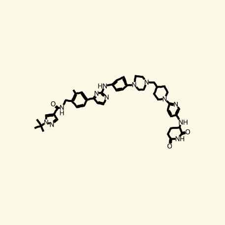 Cc1cc(-c2ccnc(Nc3ccc(N4CCN(CC5CCN(c6ccc(NC7CCC(=O)NC7=O)cn6)CC5)CC4)cc3)n2)ccc1CNC(=O)c1cnn(C(C)(C)C)c1